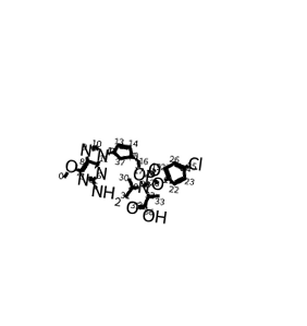 COc1nc(N)nc2c1ncn2[C@H]1C=C[C@@H](COP(=O)(Oc2ccc(Cl)cc2)N(C(C)C)C(C)C(=O)O)C1